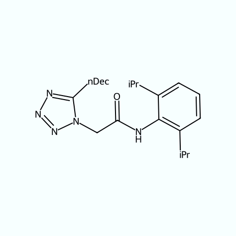 CCCCCCCCCCc1nnnn1CC(=O)Nc1c(C(C)C)cccc1C(C)C